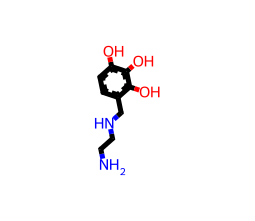 NCCNCc1ccc(O)c(O)c1O